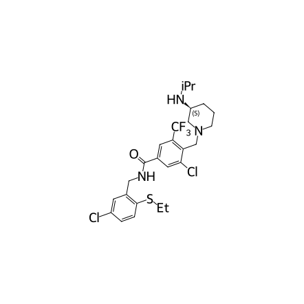 CCSc1ccc(Cl)cc1CNC(=O)c1cc(Cl)c(CN2CCC[C@H](NC(C)C)C2)c(C(F)(F)F)c1